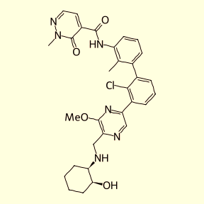 COc1nc(-c2cccc(-c3cccc(NC(=O)c4ccnn(C)c4=O)c3C)c2Cl)cnc1CN[C@@H]1CCCC[C@@H]1O